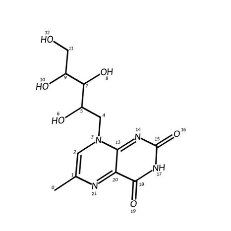 Cc1cn(CC(O)C(O)C(O)CO)c2nc(=O)[nH]c(=O)c-2n1